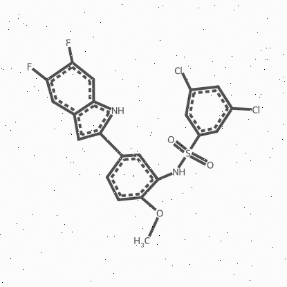 COc1ccc(-c2cc3cc(F)c(F)cc3[nH]2)cc1NS(=O)(=O)c1cc(Cl)cc(Cl)c1